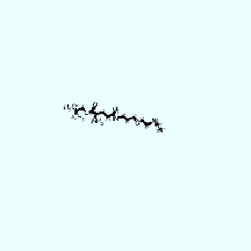 CC(C)COC(=O)C(N)CCC(=O)NCCCOCCN=[N+]=[N-]